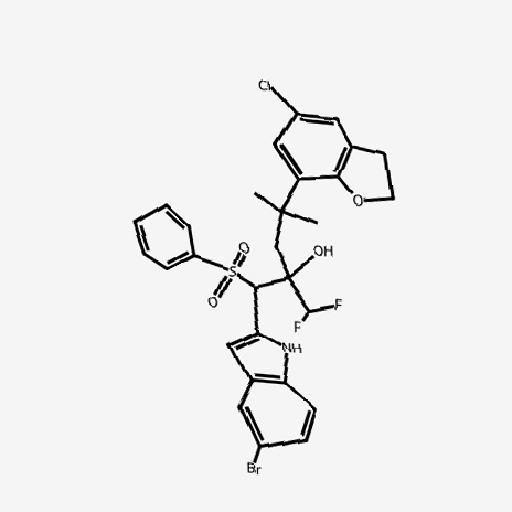 CC(C)(CC(O)(C(F)F)C(c1cc2cc(Br)ccc2[nH]1)S(=O)(=O)c1ccccc1)c1cc(Cl)cc2c1OCC2